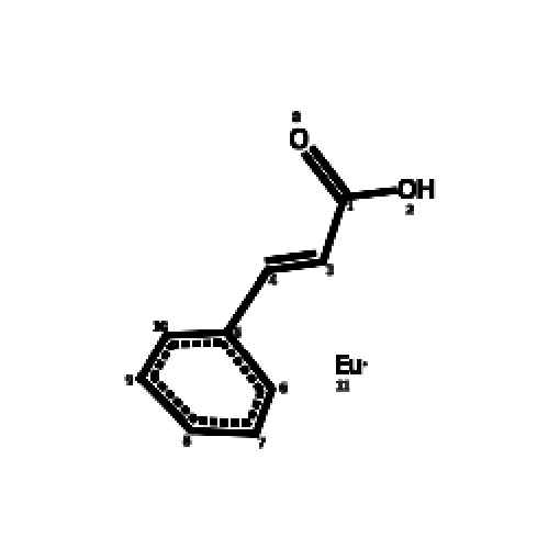 O=C(O)/C=C/c1ccccc1.[Eu]